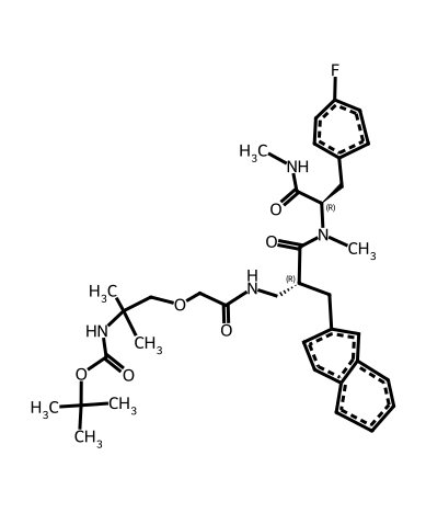 CNC(=O)[C@@H](Cc1ccc(F)cc1)N(C)C(=O)[C@@H](CNC(=O)COCC(C)(C)NC(=O)OC(C)(C)C)Cc1ccc2ccccc2c1